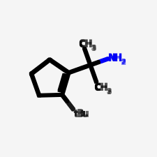 CC(C)(C)C1=C(C(C)(C)N)CCC1